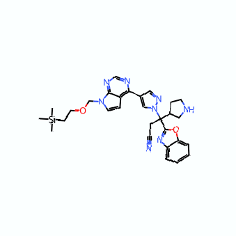 C[Si](C)(C)CCOCn1ccc2c(-c3cnn(C(CC#N)(c4nc5ccccc5o4)C4CCNC4)c3)ncnc21